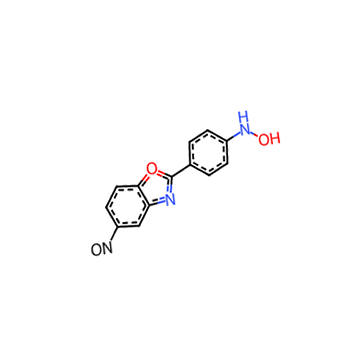 O=Nc1ccc2oc(-c3ccc(NO)cc3)nc2c1